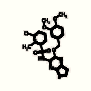 COc1ccc(COc2nc3ccsc3nc2NS(=O)(=O)c2cccc(Cl)c2C)cc1OC